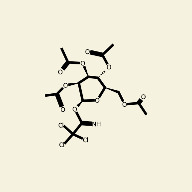 CC(=O)OC[C@H]1O[C@@H](OC(=N)C(Cl)(Cl)Cl)[C@@H](OC(C)=O)[C@@H](OC(C)=O)[C@@H]1OC(C)=O